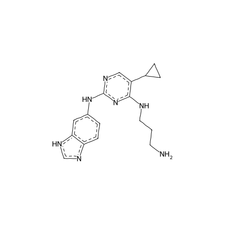 NCCCNc1nc(Nc2ccc3nc[nH]c3c2)ncc1C1CC1